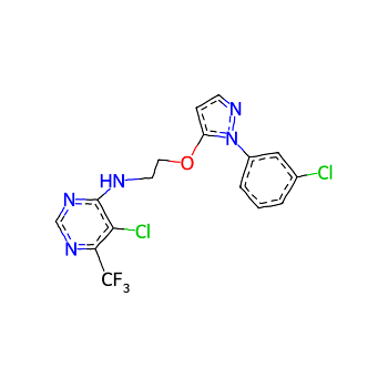 FC(F)(F)c1ncnc(NCCOc2ccnn2-c2cccc(Cl)c2)c1Cl